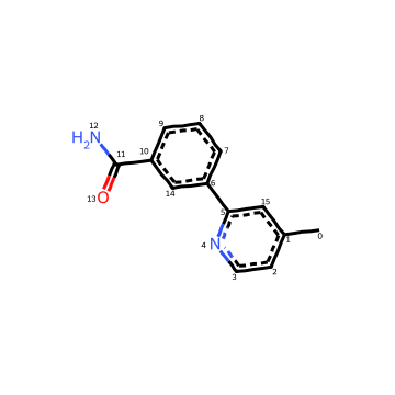 Cc1ccnc(-c2cccc(C(N)=O)c2)c1